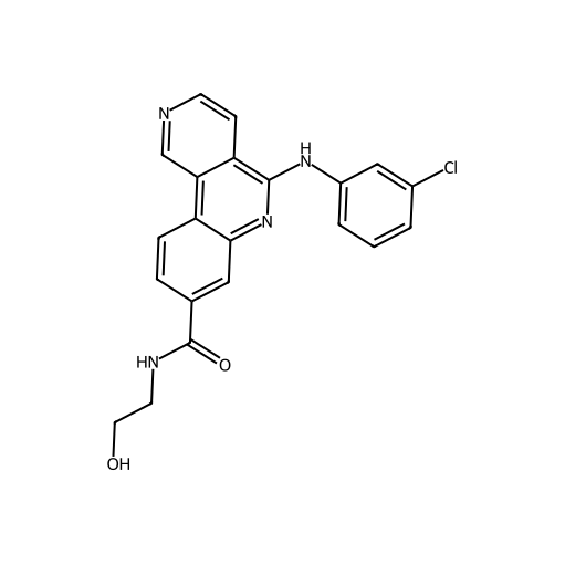 O=C(NCCO)c1ccc2c(c1)nc(Nc1cccc(Cl)c1)c1ccncc12